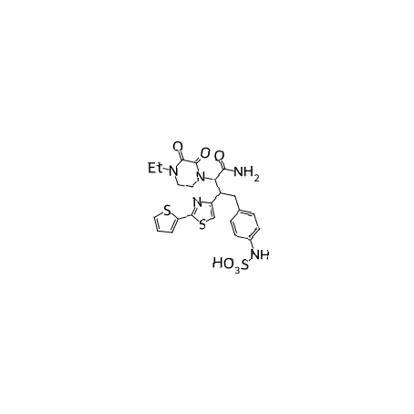 CCN1CCN(C(C(N)=O)C(Cc2ccc(NS(=O)(=O)O)cc2)c2csc(-c3cccs3)n2)C(=O)C1=O